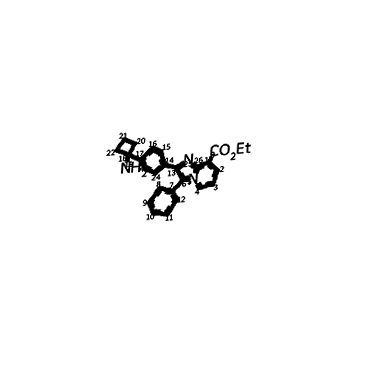 CCOC(=O)c1cccn2c(-c3ccccc3)c(-c3ccc(C4(N)CCC4)cc3)nc12